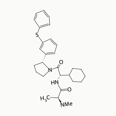 CN[C@@H](C)C(=O)N[C@H](C(=O)N1CCC[C@@H]1c1cccc(Sc2ccccc2)c1)C1CCCCC1